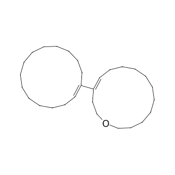 C1=C(C2=CCCCCCCCCCCOCC2)CCCCCCCCCCCCC1